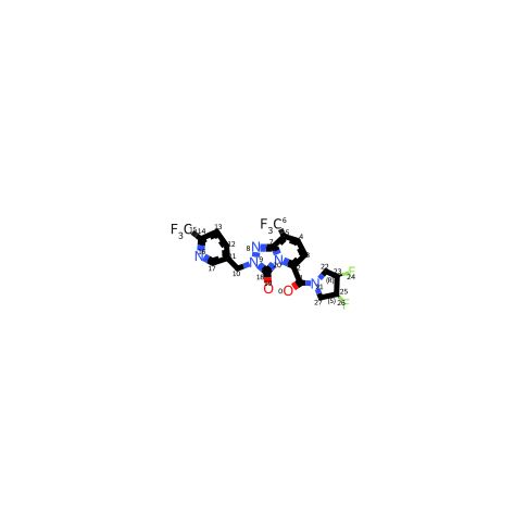 O=C(c1ccc(C(F)(F)F)c2nn(Cc3ccc(C(F)(F)F)nc3)c(=O)n12)N1C[C@@H](F)[C@@H](F)C1